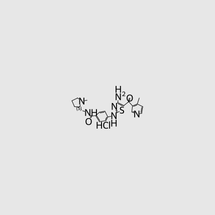 Cc1ccncc1C(=O)c1sc(Nc2ccc(C(=O)NC[C@@H]3CCCN3C)cc2)nc1N.Cl